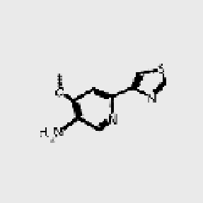 COc1cc(-c2cscn2)ncc1N